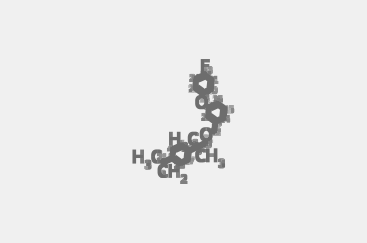 C=C(C)c1ccc(C(C)(C)COCc2cccc(Oc3ccc(F)cc3)c2)cc1